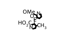 COC(=O)c1ncccc1F.Cc1ccnc(C(=O)O)c1F